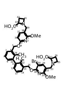 COc1nc(OCc2cccc(-c3cccc(COc4nc(OC)c(CN5CCC5C(=O)O)cc4Br)c3C)c2C)ccc1CN1CCC1C(=O)O